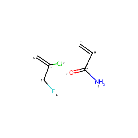 C=C(Cl)CF.C=CC(N)=O